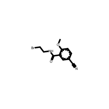 COc1ccc(C#N)cc1C(=O)NCCBr